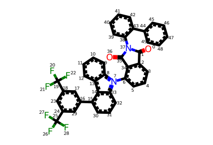 O=C1c2cccc(-n3c4ccccc4c4c(-c5cc(C(F)(F)F)cc(C(F)(F)F)c5)cccc43)c2C(=O)N1c1ccccc1-c1ccccc1